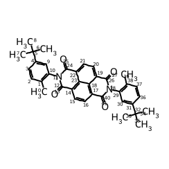 Cc1ccc(C(C)(C)C)cc1N1C(=O)c2ccc3c4c(ccc(c24)C1=O)C(=O)N(c1cc(C(C)(C)C)ccc1C)C3=O